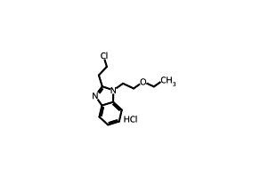 CCOCCn1c(CCCl)nc2ccccc21.Cl